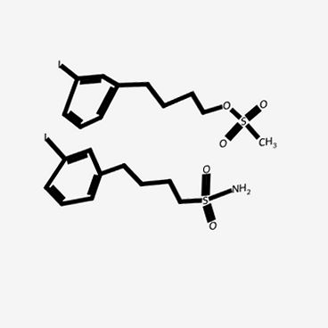 CS(=O)(=O)OCCCCc1cccc(I)c1.NS(=O)(=O)CCCCc1cccc(I)c1